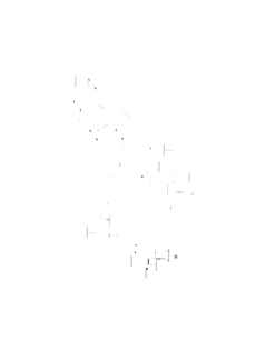 O=P1(O)OC[C@H]2O[C@@H](n3cc4c5c(ncnc53)NCCC4)[C@H](O)[C@@H]2O[P@@](=O)(S)OCC2O[C@@H](I)[C@H](O1)[C@@H]2O